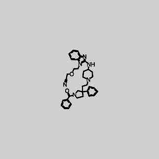 N#CCOCCn1c(NC2CCN(CCC3(c4ccccc4)CCN(C(=O)c4ccccc4)C3)CC2)nc2ccccc21